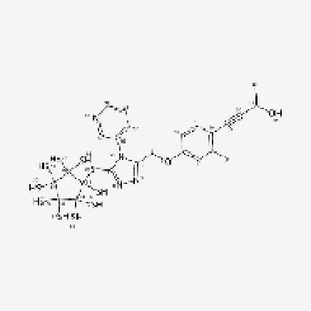 Cc1cc(OCc2nnc(SC3(S)C(S)(S)C(S)(S)C(S)(S)C3(S)S)n2-c2cccnc2)ccc1C#CC(C)O